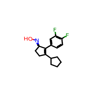 ON=C1CCC(C2CCCC2)=C1c1ccc(F)c(F)c1